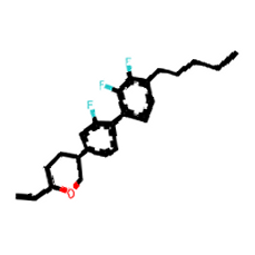 C=CC1CCC(c2ccc(-c3ccc(CCCCC)c(F)c3F)c(F)c2)CO1